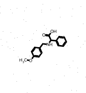 COc1ccc(CNC(C(=O)O)c2ccccc2)cc1